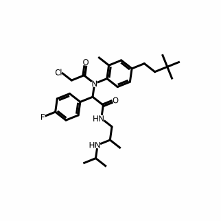 Cc1cc(CCC(C)(C)C)ccc1N(C(=O)CCl)C(C(=O)NCC(C)NC(C)C)c1ccc(F)cc1